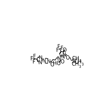 C[Si](C)(C)CCOCn1nc(N(CCCC(=O)N2CCN(c3ncc(C(F)(F)F)cn3)CC2)C(=O)O)cc(C(F)(F)F)c1=O